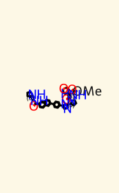 COC(=O)N[C@H](C(=O)N1CCC[C@H]1c1ncc(-c2ccc(-c3ccc4cc(C(=O)NC[C@@H]5CCCN5)ccc4c3)cc2)[nH]1)C1CCOCC1